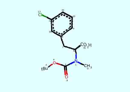 CN(C(=O)OC(C)(C)C)C(Cc1cccc(Cl)c1)C(=O)O